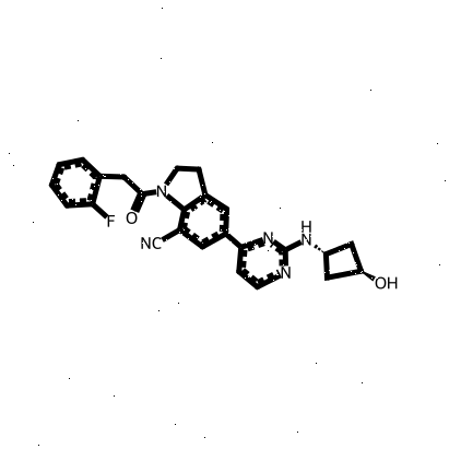 N#Cc1cc(-c2ccnc(N[C@H]3C[C@H](O)C3)n2)cc2c1N(C(=O)Cc1ccccc1F)CC2